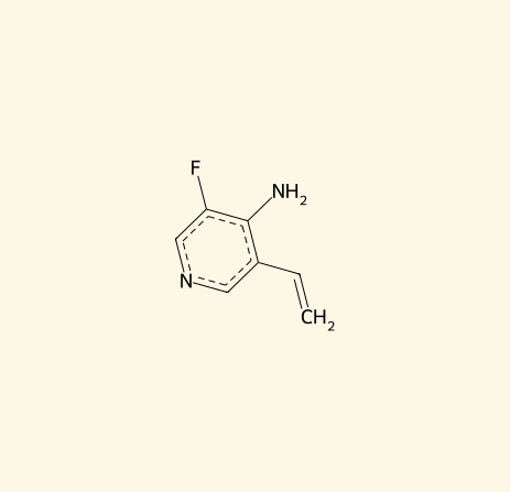 C=Cc1cncc(F)c1N